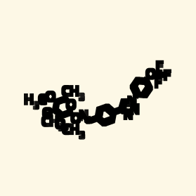 CO[C@@H]1[C@@H](OC)[C@H](C)O[C@@H](O/N=C/c2ccc(-c3cn(-c4ccc(OC(F)(F)F)cc4)nn3)cc2)[C@@H]1OC